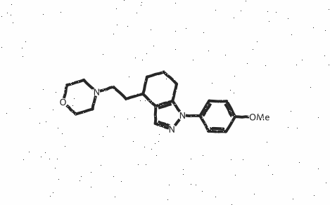 COc1ccc(-n2ncc3c2CCCC3CCN2CCOCC2)cc1